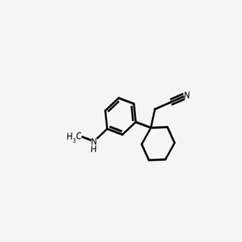 CNc1cccc(C2(CC#N)CCCCC2)c1